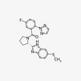 CSc1ccc2nc([C@@H]3CCCN3C(=O)c3cc(F)ccc3-n3nccn3)[nH]c2c1